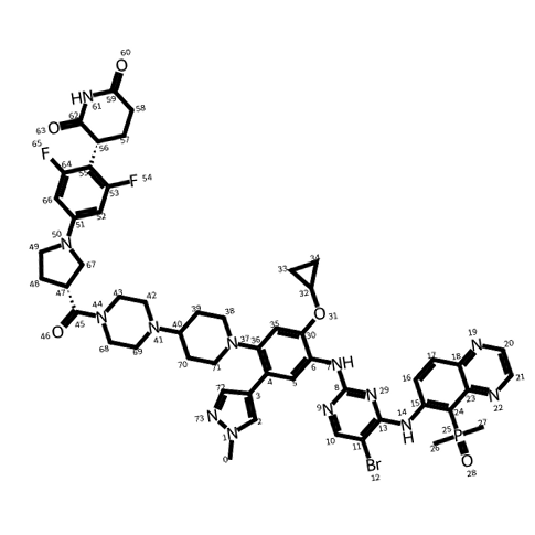 Cn1cc(-c2cc(Nc3ncc(Br)c(Nc4ccc5nccnc5c4P(C)(C)=O)n3)c(OC3CC3)cc2N2CCC(N3CCN(C(=O)[C@@H]4CCN(c5cc(F)c([C@H]6CCC(=O)NC6=O)c(F)c5)C4)CC3)CC2)cn1